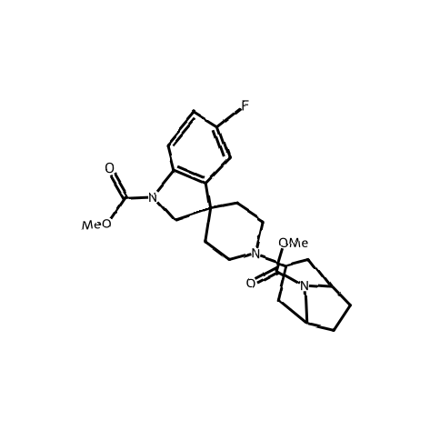 COC(=O)N1CC2(CCN(C3CC4CCC(C3)N4C(=O)OC)CC2)c2cc(F)ccc21